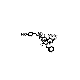 CN[C@H](C(=O)N[C@@H](Cc1ccccc1)C(=O)NOP(=O)(O)CCc1ccc(O)cc1)C(C)C